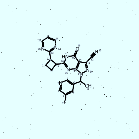 CC(c1cncc(F)c1)n1nc(C#N)c2c(=O)[nH]c(C3CCC3c3ncccn3)nc21